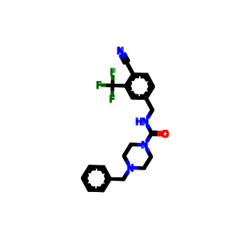 N#Cc1ccc(CNC(=O)N2CCN(Cc3ccccc3)CC2)cc1C(F)(F)F